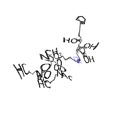 C#CCCN(C(C)=O)C(=O)OCc1cnc(C)c(OC(=O)CCC/C=C\C[C@@H]2[C@@H](CC[C@@H](O)CCc3ccccc3)[C@H](O)C[C@@H]2O)c1COC(=O)N(CCC#C)C(C)=O